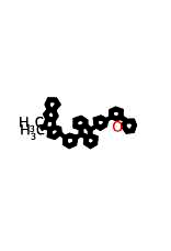 CC1(C)c2ccc(-c3cccc(-c4c5ccccc5c(-c5ccc(-c6cccc7c6oc6ccccc67)cc5)c5ccccc45)c3)cc2-c2cc3ccccc3cc21